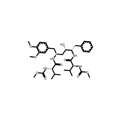 COC(=O)N[C@H](C(=O)N[C@@H](Cc1ccccc1)[C@@H](O)CN(Cc1ccc(OC)c(OC)c1)NC(=O)[C@@H](NC(=O)OC)C(C)C)C(C)C